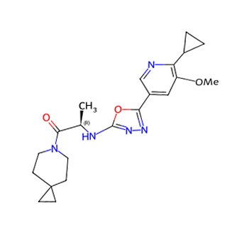 COc1cc(-c2nnc(N[C@H](C)C(=O)N3CCC4(CC3)CC4)o2)cnc1C1CC1